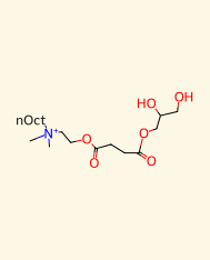 CCCCCCCC[N+](C)(C)CCOC(=O)CCC(=O)OCC(O)CO